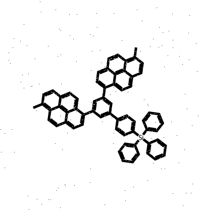 Cc1ccc2ccc3c(-c4cc(-c5ccc([Si](c6ccccc6)(c6ccccc6)c6ccccc6)cc5)cc(-c5ccc6ccc7c(C)ccc8ccc5c6c87)c4)ccc4ccc1c2c43